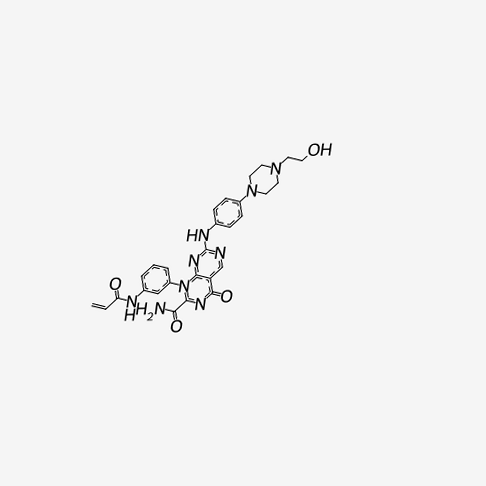 C=CC(=O)Nc1cccc(-n2c(C(N)=O)nc(=O)c3cnc(Nc4ccc(N5CCN(CCO)CC5)cc4)nc32)c1